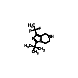 CC(C)(C)c1nc(C(C)(F)F)c2n1CCNC2